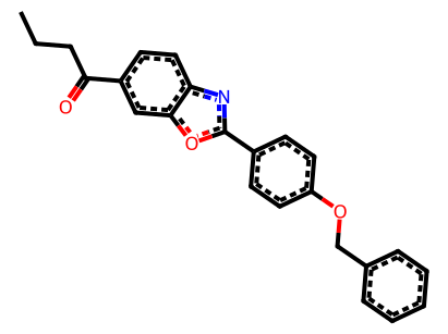 CCCC(=O)c1ccc2nc(-c3ccc(OCc4ccccc4)cc3)oc2c1